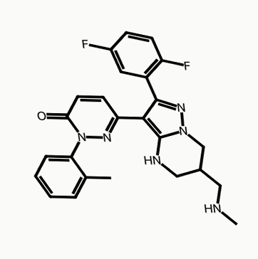 CNCC1CNc2c(-c3ccc(=O)n(-c4ccccc4C)n3)c(-c3cc(F)ccc3F)nn2C1